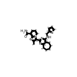 Cc1nc2c(C(N)=O)cccn2c1-c1nc2c(c(NCc3cccs3)n1)CCCCC2